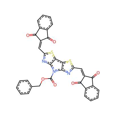 O=C1C(=Cc2nc3c(s2)c2sc(C=C4C(=O)c5ccccc5C4=O)nc2n3C(=O)OCc2ccccc2)C(=O)c2ccccc21